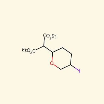 CCOC(=O)C(C(=O)OCC)C1CCC(I)CO1